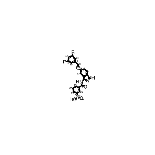 O=C(Nc1n[nH]c2ccc(OCc3cc(F)cc(F)c3)cc12)c1cccc([N+](=O)O)c1